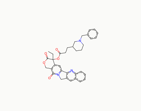 CCC1(OC(=O)CCC2CCCN(Cc3ccccc3)C2)C(=O)OCc2c1cc1n(c2=O)Cc2cc3ccccc3nc2-1